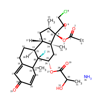 CCC(=O)O[C@]1(C(=O)CCl)[C@@H](C)C[C@H]2[C@@H]3CCC4=CC(=O)C=C[C@]4(C)[C@@]3(F)[C@@H](OC(=O)C(C)O)C[C@@]21C.N